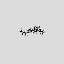 CN(C)C(=O)c1ccn(-c2c(F)c(Cl)c(-c3cn4cc(NCC(=O)[C@@H]5C[C@@H]5F)nc4cn3)c3cn[nH]c23)c1